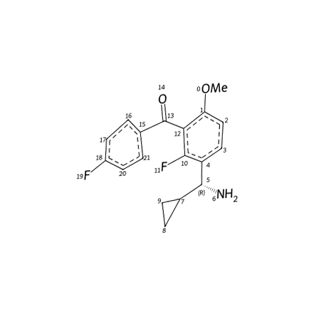 COc1ccc([C@H](N)C2CC2)c(F)c1C(=O)c1ccc(F)cc1